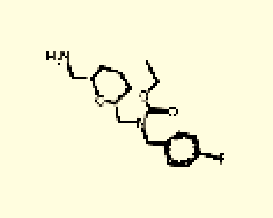 CCOC(=O)N(Cc1ccc(F)cc1)C[C@@H]1CCC[C@H](CN)O1